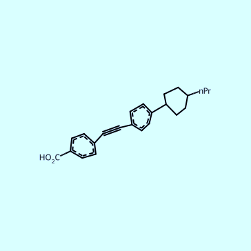 CCCC1CCC(c2ccc(C#Cc3ccc(C(=O)O)cc3)cc2)CC1